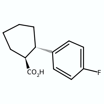 O=C(O)[C@H]1CCCC[C@@H]1c1ccc(F)cc1